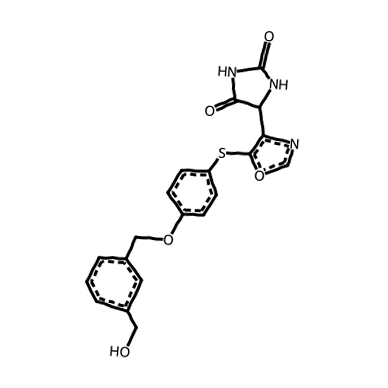 O=C1NC(=O)C(c2ncoc2Sc2ccc(OCc3cccc(CO)c3)cc2)N1